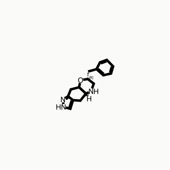 c1ccc(C[C@@H]2CN[C@@H]3Cc4c[nH]nc4CC3O2)cc1